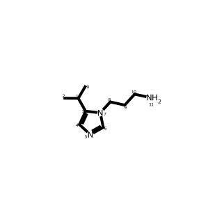 CC(C)c1cncn1CCCN